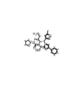 Cc1cc(Cn2cc(-c3ccccc3)nc2[C@H](N(C[C@@H](F)CN)C(=O)O[C@H]2CCCO2)C(C)(C)C)no1